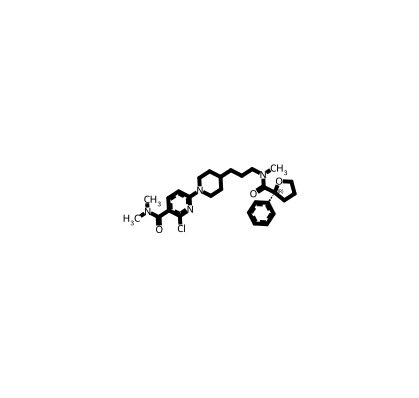 CN(C)C(=O)c1ccc(N2CCC(CCCN(C)C(=O)[C@]3(c4ccccc4)CCCO3)CC2)nc1Cl